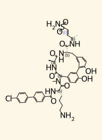 C[C@@H]1NC(=O)[C@@H](N(C)C(=O)[C@H](CCCCN)NC(=O)c2ccc(-c3ccc(Cl)cc3)cc2)c2ccc(O)c(c2)-c2cc(ccc2O)C[C@@H](C(=O)N[C@@H](C)/C=C/S(N)(=O)=O)NC1=O